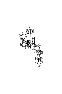 c1cc(-c2ccncc2)cc(-c2cccc3nc(Nc4ccc(OCCN5CCCC5)cc4)nn23)c1